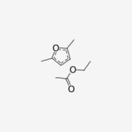 CCOC(C)=O.Cc1ccc(C)o1